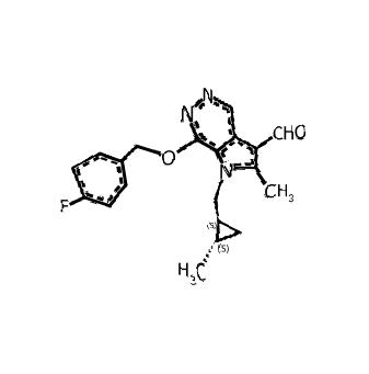 Cc1c(C=O)c2cnnc(OCc3ccc(F)cc3)c2n1C[C@H]1C[C@@H]1C